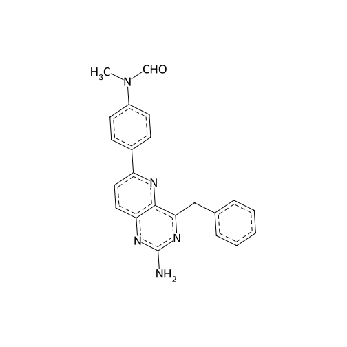 CN(C=O)c1ccc(-c2ccc3nc(N)nc(Cc4ccccc4)c3n2)cc1